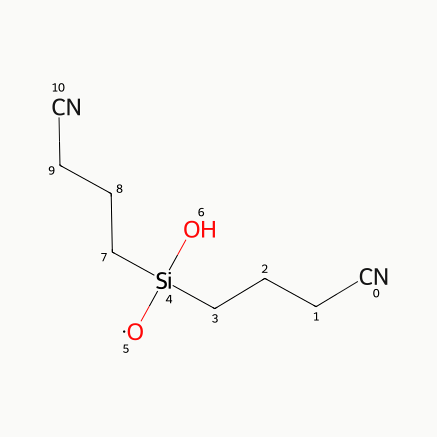 N#CCCC[Si]([O])(O)CCCC#N